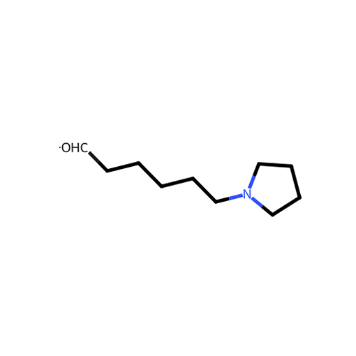 O=[C]CCCCCN1CCCC1